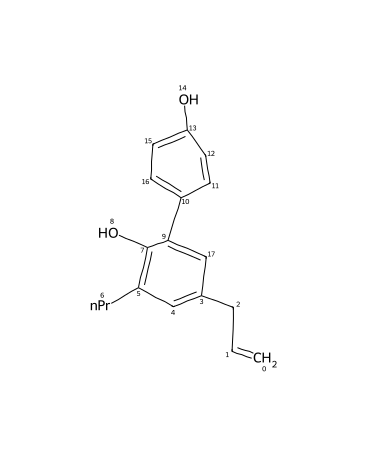 C=CCc1cc(CCC)c(O)c(-c2ccc(O)cc2)c1